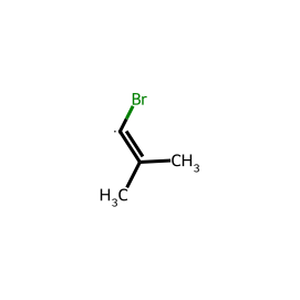 CC(C)=[C]Br